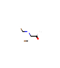 CC[C@H](C)C(=O)[C@H](CS)NCS